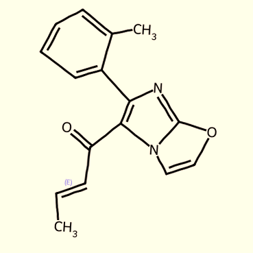 C/C=C/C(=O)c1c(-c2ccccc2C)nc2occn12